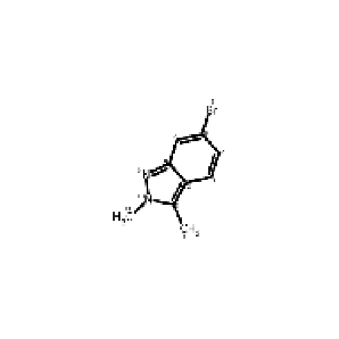 Cc1c2ccc(Br)cc2nn1C